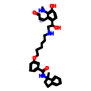 CNc1c(O)ccc(C(O)CNCCCCCCOc2cccc(C(=O)NC3(C)CCc4ccccc43)c2)c1/C=C\C=O